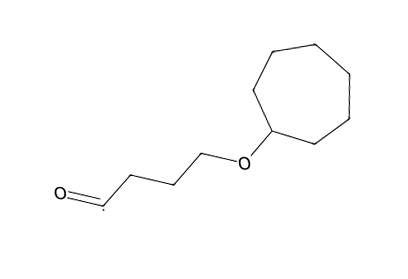 O=[C]CCCOC1CCCCCC1